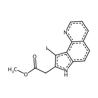 COC(=O)Cc1[nH]c2ccc3cccnc3c2c1I